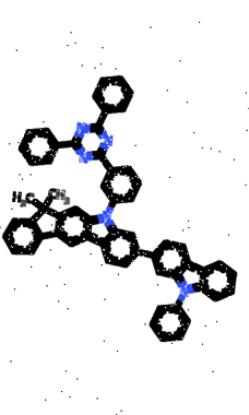 CC1(C)c2ccccc2-c2cc3c4ccc(-c5ccc6c7ccccc7n(-c7ccccc7)c6c5)cc4n(-c4cccc(-c5nc(-c6ccccc6)nc(-c6ccccc6)n5)c4)c3cc21